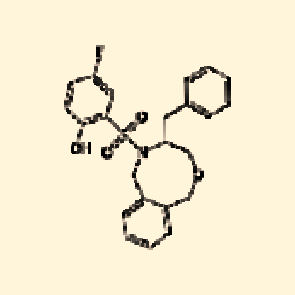 O=S(=O)(c1cc(F)ccc1O)N1Cc2ccccc2COCC1Cc1ccccc1